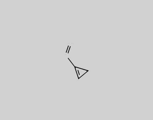 O=[S+]C1=CC1